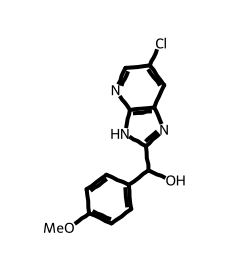 COc1ccc(C(O)c2nc3cc(Cl)cnc3[nH]2)cc1